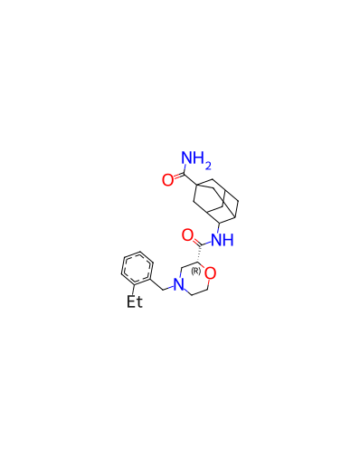 CCc1ccccc1CN1CCO[C@@H](C(=O)NC2C3CC4CC2CC(C(N)=O)(C4)C3)C1